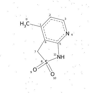 Cc1ccnc2c1CS(=O)(=O)N2